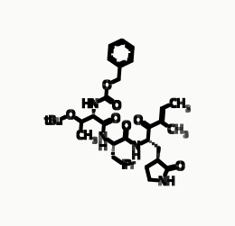 C/C=C(\C)C(=O)[C@H](C[C@@H]1CCNC1=O)NC(=O)[C@H](CC(C)C)NC(=O)[C@@H](NC(=O)OCc1ccccc1)C(C)OC(C)(C)C